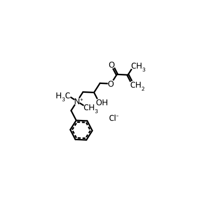 C=C(C)C(=O)OCC(O)C[N+](C)(C)Cc1ccccc1.[Cl-]